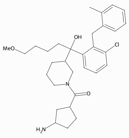 COCCCCC(O)(c1cccc(Cl)c1Cc1ccccc1C)C1CCCN(C(=O)C2CCC(N)C2)C1